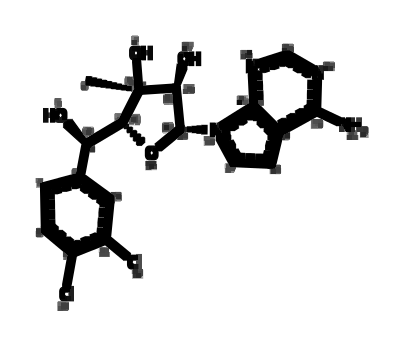 C[C@@]1(O)[C@@H]([C@H](O)c2ccc(Cl)c(Cl)c2)O[C@@H](n2ccc3c(N)ncnc32)[C@@H]1O